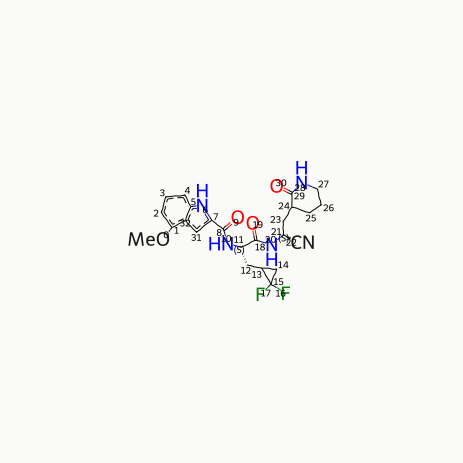 COc1cccc2[nH]c(C(=O)N[C@@H](CC3CC3(F)F)C(=O)N[C@H](C#N)CC3CCCNC3=O)cc12